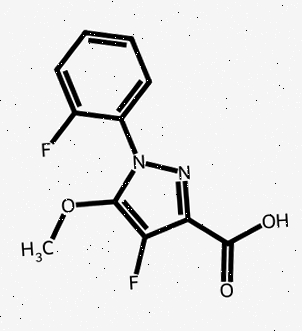 COc1c(F)c(C(=O)O)nn1-c1ccccc1F